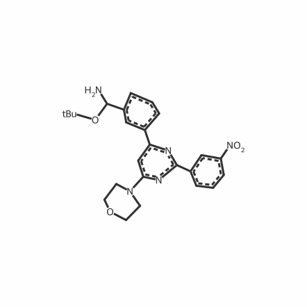 CC(C)(C)OC(N)c1cccc(-c2cc(N3CCOCC3)nc(-c3cccc([N+](=O)[O-])c3)n2)c1